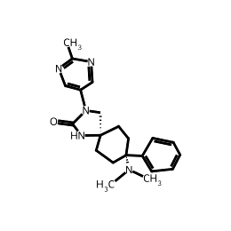 Cc1ncc(N2C[C@]3(CC[C@@](c4ccccc4)(N(C)C)CC3)NC2=O)cn1